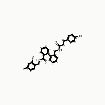 Cc1ccc(CNC(=O)c2ccccc2-c2ccccc2CNC(=O)CCc2ccc(O)cc2)c(F)c1